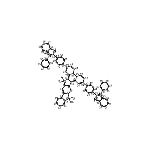 CC1(C)C2=C(CC3C(=C2)c2ccccc2C3(C)C)C2=C3C=C(c4ccc(-c5nc6ccccc6n5-c5ccccc5)cc4)C=CC3C3C=CC(c4ccc(-c5nc6ccccc6n5-c5ccccc5)cc4)=CC3=C21